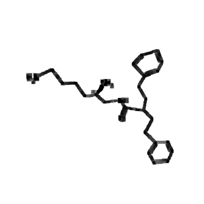 NCCCC[C@@H](N)CNC(=O)C(CCc1ccccc1)CCc1ccccc1